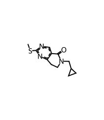 CSc1ncc2c(n1)CCN(CC1CC1)C2=O